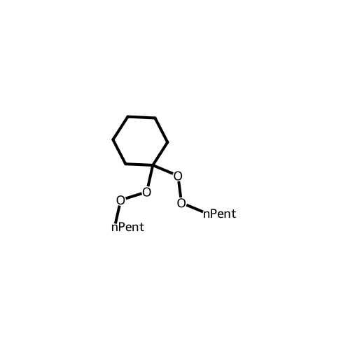 CCCCCOOC1(OOCCCCC)CCCCC1